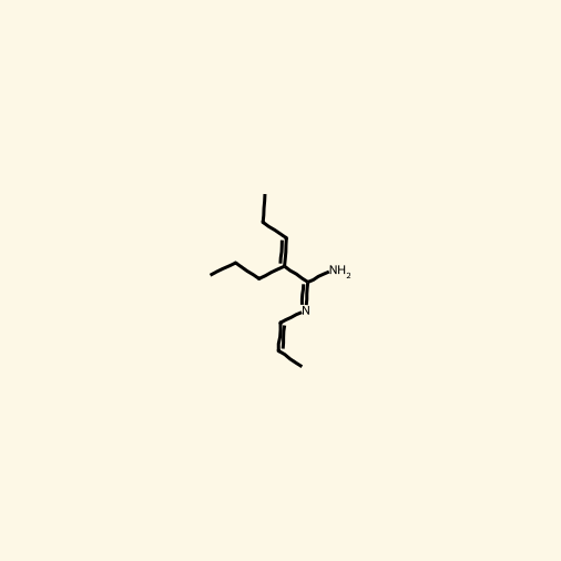 C\C=C/N=C(N)\C(=C\CC)CCC